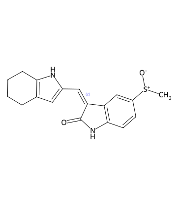 C[S+]([O-])c1ccc2c(c1)/C(=C/c1cc3c([nH]1)CCCC3)C(=O)N2